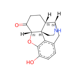 O=C1CC[C@@H]2[C@@H]3Cc4ccc(O)c5c4[C@]2(CCN3)[C@@H]1O5